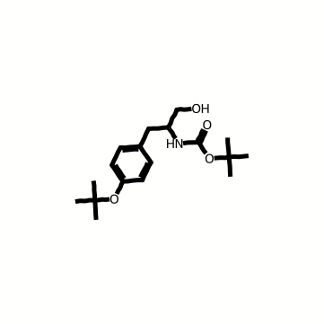 CC(C)(C)OC(=O)NC(CO)Cc1ccc(OC(C)(C)C)cc1